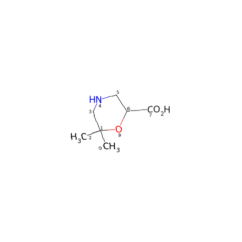 CC1(C)CNCC(C(=O)O)O1